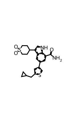 NC(=O)c1cc(-c2csc(CC3CC3)c2)cc2c(C3CCS(=O)(=O)CC3)c[nH]c12